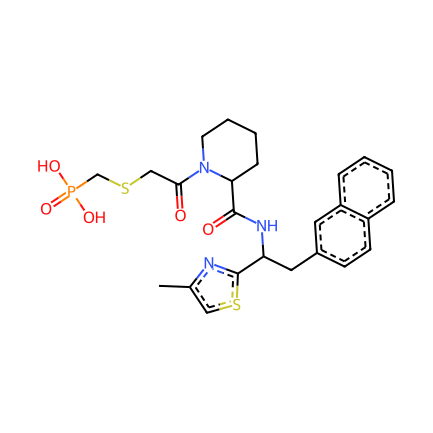 Cc1csc(C(Cc2ccc3ccccc3c2)NC(=O)C2CCCCN2C(=O)CSCP(=O)(O)O)n1